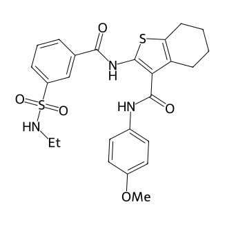 CCNS(=O)(=O)c1cccc(C(=O)Nc2sc3c(c2C(=O)Nc2ccc(OC)cc2)CCCC3)c1